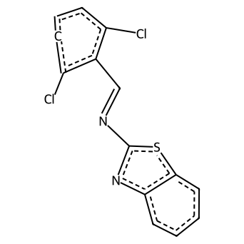 Clc1cccc(Cl)c1/C=N/c1nc2ccccc2s1